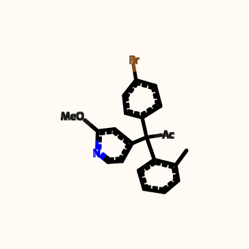 COc1cc(C(C(C)=O)(c2ccc(Br)cc2)c2ccccc2C)ccn1